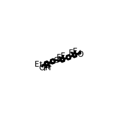 CCC(O)c1ccc(C2=CCC(OCc3ccc(C4CCC(c5ccc(C6CO6)c(F)c5F)CC4)c(F)c3F)CC2)c(F)c1F